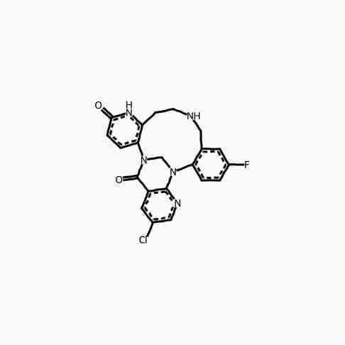 O=C1c2cc(Cl)cnc2N2CN1c1ccc(=O)[nH]c1CCNCc1cc(F)ccc12